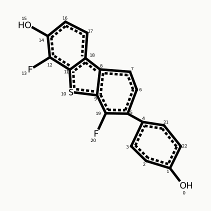 Oc1ccc(-c2ccc3c(sc4c(F)c(O)ccc43)c2F)cc1